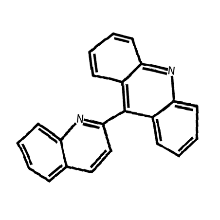 c1ccc2nc(-c3c4ccccc4nc4ccccc34)ccc2c1